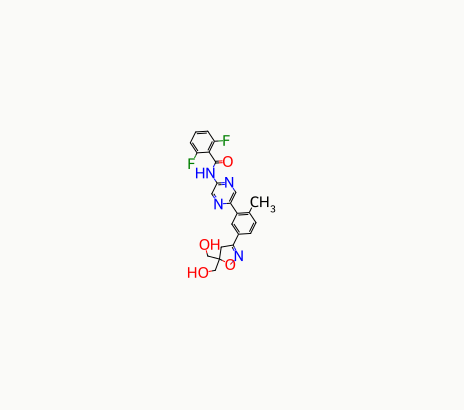 Cc1ccc(C2=NOC(CO)(CO)C2)cc1-c1cnc(NC(=O)c2c(F)cccc2F)cn1